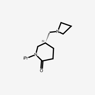 CC(C)N1C[C@H](CN2CCC2)CCC1=O